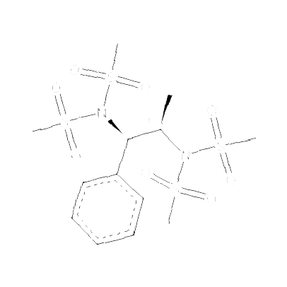 C[C@H]([C@@H](c1ccccc1)N(S(C)(=O)=O)S(C)(=O)=O)N(S(C)(=O)=O)S(C)(=O)=O